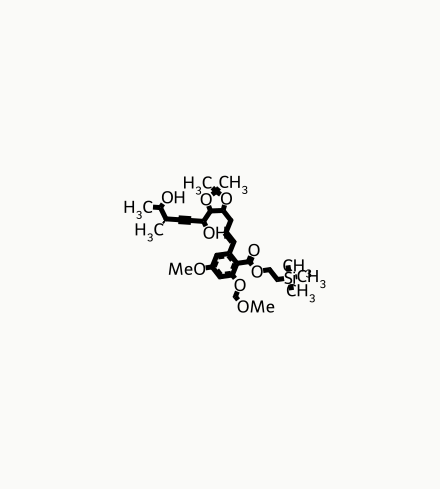 COCOc1cc(OC)cc(/C=C/CC2OC(C)(C)OC2C(O)C#C[C@H](C)C(C)O)c1C(=O)OCC[Si](C)(C)C